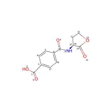 O=C(O)c1ccc(C(=O)N[C@H]2CCOC2=O)cc1